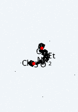 CCn1c2ccc(C(=O)c3ccccc3)cc2c2cc(C(=O)C(N)CCSc3ccc(Cl)cc3)ccc21